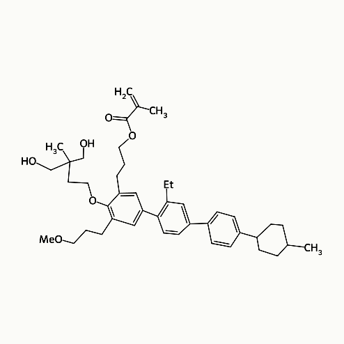 C=C(C)C(=O)OCCCc1cc(-c2ccc(-c3ccc(C4CCC(C)CC4)cc3)cc2CC)cc(CCCOC)c1OCCC(C)(CO)CO